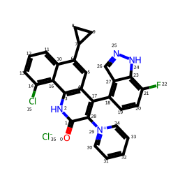 O=c1[nH]c2c(cc(C3CC3)c3cccc(Cl)c32)c(-c2ccc(F)c3[nH]ncc23)c1-[n+]1ccccc1.[Cl-]